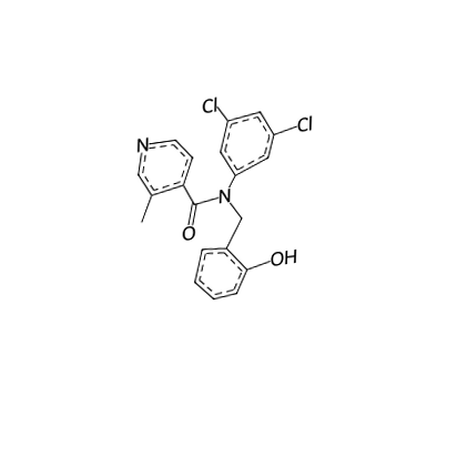 Cc1cnccc1C(=O)N(Cc1ccccc1O)c1cc(Cl)cc(Cl)c1